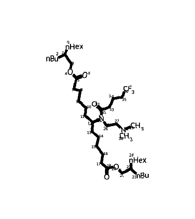 CCCCCCC(CCCC)COC(=O)CCCCCC(CCCCCC(=O)OCC(CCCC)CCCCCC)N(CCN(C)C)C(=O)CCCC(F)(F)F